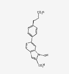 O=C(O)CCc1ccc(-c2ccc3cc(C(=O)O)n(O)c3c2)cc1